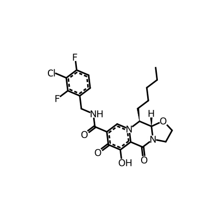 CCCCC[C@H]1[C@@H]2OCCN2C(=O)c2c(O)c(=O)c(C(=O)NCc3ccc(F)c(Cl)c3F)cn21